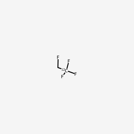 FC[12C](F)(F)F